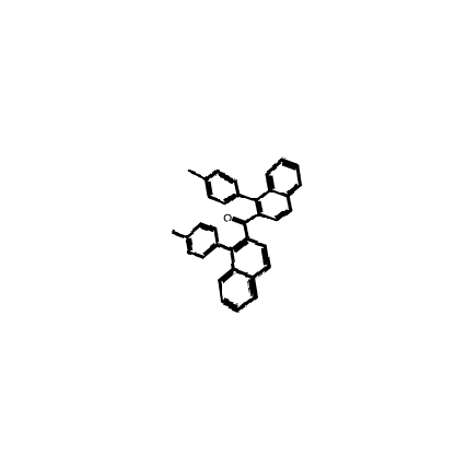 Cc1ccc(-c2c(C(=O)c3ccc4ccccc4c3-c3ccc(C)cc3)ccc3ccccc23)cc1